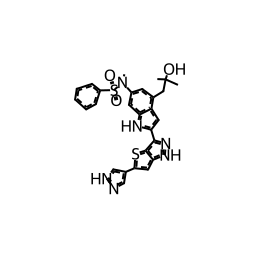 CN(c1cc(CC(C)(C)O)c2cc(-c3n[nH]c4cc(-c5cn[nH]c5)sc34)[nH]c2c1)S(=O)(=O)c1ccccc1